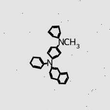 CN(c1ccccc1)c1ccc(N(C2=CCCC=C2)c2ccc3ccccc3c2)cc1